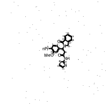 CCCc1ccc(C(CC(=O)Nc2nccs2)N2Cc3ccccc3C2=O)cc1OC